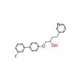 OC(CCc1cccnc1)COc1ccc(-c2cccc(F)c2)cc1